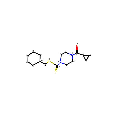 O=C(C1CC1)N1CCN(C(=S)SCC2CCCCC2)CC1